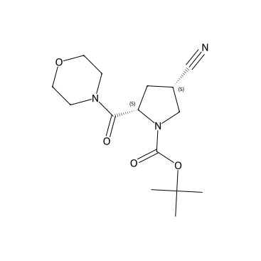 CC(C)(C)OC(=O)N1C[C@@H](C#N)C[C@H]1C(=O)N1CCOCC1